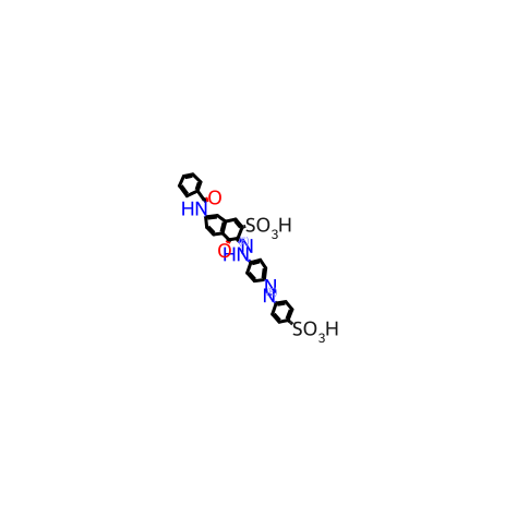 O=C(Nc1ccc2c(c1)C=C(S(=O)(=O)O)/C(=N/Nc1ccc(/N=N/c3ccc(S(=O)(=O)O)cc3)cc1)C2=O)c1ccccc1